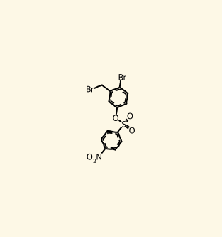 O=[N+]([O-])c1ccc(S(=O)(=O)Oc2ccc(Br)c(CBr)c2)cc1